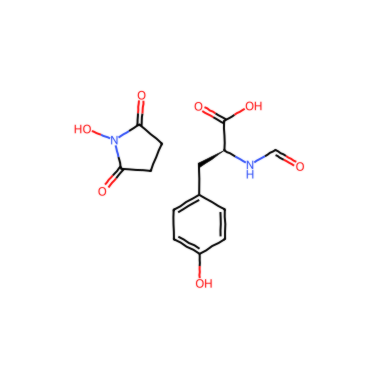 O=C1CCC(=O)N1O.O=CN[C@@H](Cc1ccc(O)cc1)C(=O)O